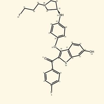 O=C(c1ccc(F)cc1)c1sc2cc(O)ccc2c1Oc1ccc(N[C@@H]2CCN(CCCF)C2)cc1